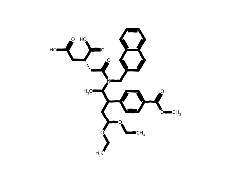 CCOC(CC(c1ccc(C(=O)OC)cc1)C(C)N(Cc1ccc2ccccc2c1)C(=O)C[C@H](CC(=O)O)C(=O)O)OCC